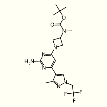 Cc1nn(CC(F)(F)F)cc1-c1cc(N2CC(N(C)C(=O)OC(C)(C)C)C2)nc(N)n1